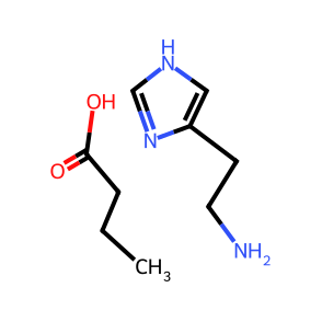 CCCC(=O)O.NCCc1c[nH]cn1